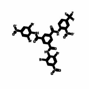 O=C(Nc1ccc(C(F)(F)F)cc1[N+](=O)[O-])c1cc(C(=O)Nc2c(Br)cc([N+](=O)[O-])cc2Br)cc(C(=O)Nc2c(Br)cc([N+](=O)[O-])cc2Br)c1